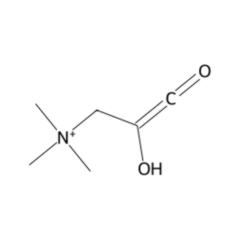 C[N+](C)(C)CC(O)=C=O